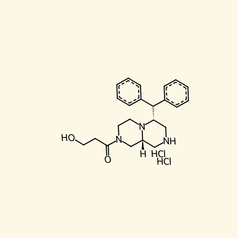 Cl.Cl.O=C(CCO)N1CCN2[C@H](CNC[C@H]2C(c2ccccc2)c2ccccc2)C1